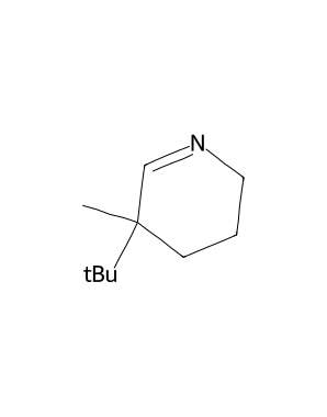 CC(C)(C)C1(C)C=NCCC1